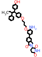 CCC(=C(c1ccc(O)cc1)c1ccc(OCCCCOc2cc(-c3ccc4c(c3)CN(C3CCC(=O)NC3=O)C4=O)ccc2N)cc1)c1ccccc1